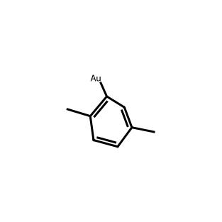 Cc1ccc(C)[c]([Au])c1